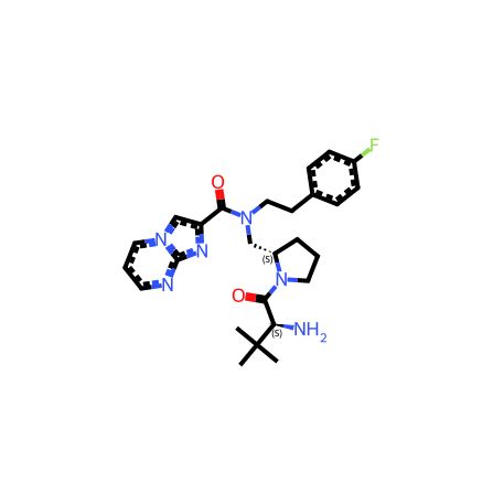 CC(C)(C)[C@H](N)C(=O)N1CCC[C@H]1CN(CCc1ccc(F)cc1)C(=O)c1cn2cccnc2n1